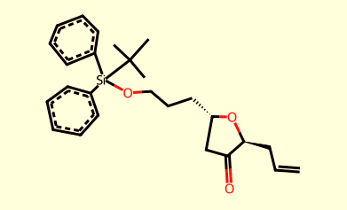 C=CC[C@@H]1O[C@@H](CCCO[Si](c2ccccc2)(c2ccccc2)C(C)(C)C)CC1=O